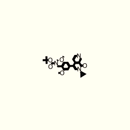 COc1cc(-c2cn(C3CC3)c(=O)c3cnccc23)cc(OC)c1CN(C)C(=O)OC(C)(C)C